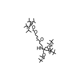 CC(C)N(C(C)C)P(OCOCCSC(=O)CCNC(CO[Si](C)(C)C(C)(C)C)(CO[Si](C)(C)C(C)(C)C)CO[Si](C)(C)C(C)(C)C)N(C(C)C)C(C)C